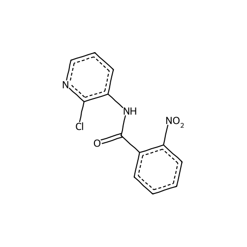 O=C(Nc1cccnc1Cl)c1ccccc1[N+](=O)[O-]